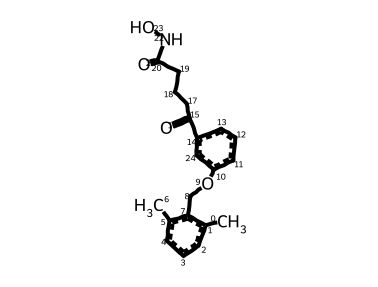 Cc1cccc(C)c1COc1cccc(C(=O)CCCC(=O)NO)c1